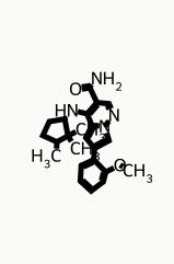 COc1ccccc1-c1cc2c(N[C@@H]3CCC(C)C3(C)C)c(C(N)=O)cnn2c1